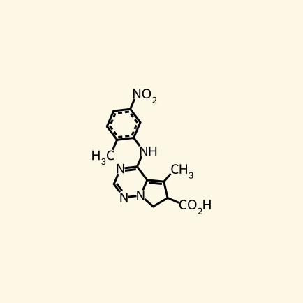 CC1=C2C(Nc3cc([N+](=O)[O-])ccc3C)=NC=NN2CC1C(=O)O